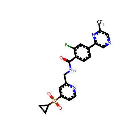 O=C(NCc1cc(S(=O)(=O)C2CC2)ccn1)c1ccc(-c2cncc(C(F)(F)F)n2)cc1F